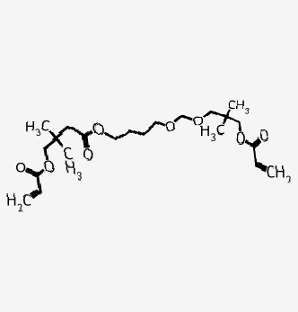 C=CC(=O)OCC(C)(C)COCOCCCCOC(=O)CC(C)(C)COC(=O)C=C